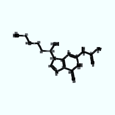 CC(C)C(=O)Nc1nc2c(ncn2C(O)CCOCO)c(=O)[nH]1